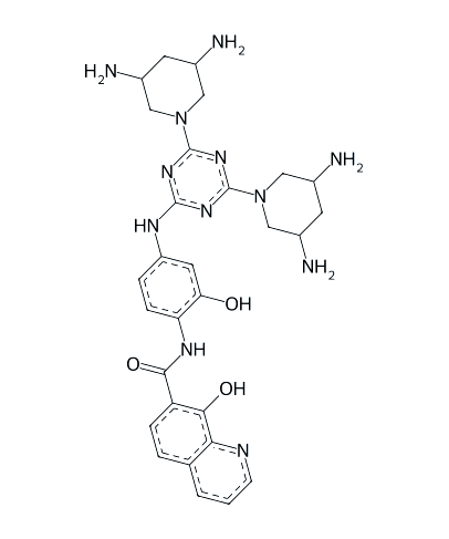 NC1CC(N)CN(c2nc(Nc3ccc(NC(=O)c4ccc5cccnc5c4O)c(O)c3)nc(N3CC(N)CC(N)C3)n2)C1